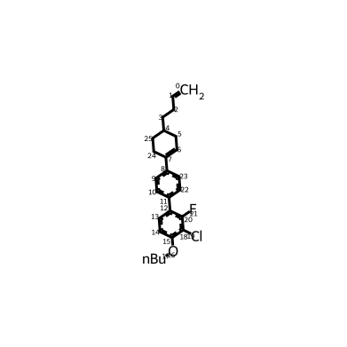 C=CCCC1CC=C(c2ccc(-c3ccc(OCCCC)c(Cl)c3F)cc2)CC1